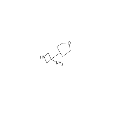 NC1(C2CCOCC2)CNC1